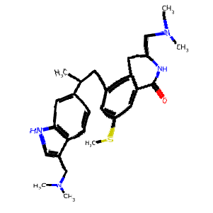 CSc1cc(CC(C)c2ccc3c(CN(C)C)c[nH]c3c2)c2c(c1)C(=O)NC(CN(C)C)C2